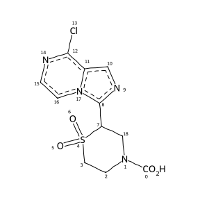 O=C(O)N1CCS(=O)(=O)C(c2ncc3c(Cl)nccn23)C1